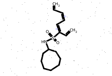 C=C/C=C\C=C(/C=C)S(=O)(=O)NC1CCCCCCC1